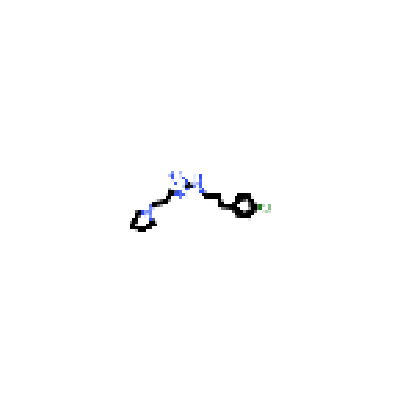 NC(=NCCCN1CCCC1)NCCCc1ccc(Cl)cc1